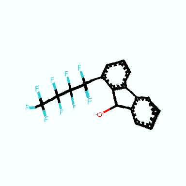 [O]C1c2ccccc2-c2cccc(C(F)(F)C(F)(F)C(F)(F)C(F)(F)F)c21